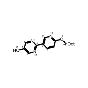 CCCCCCCCOc1ccc(-c2ncc(O)cn2)cn1